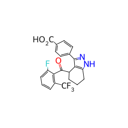 O=C(O)c1ccc(-c2n[nH]c3c2C(C(=O)c2c(F)cccc2C(F)(F)F)CCC3)cc1